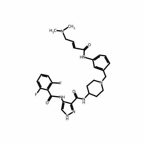 CN(C)CC=CC(=O)Nc1cccc(CN2CCC(NC(=O)c3n[nH]cc3NC(=O)c3c(F)cccc3F)CC2)c1